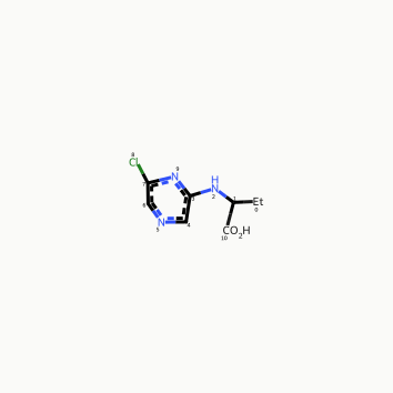 CCC(Nc1cncc(Cl)n1)C(=O)O